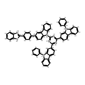 c1ccc(-n2c3ccccc3c3ccc(-c4nc(-c5ccc6c7ccccc7n(-c7ccccc7)c6c5)nc(-n5c6ccccc6c6cc(-c7ccc(-c8nc9ccccc9s8)cc7)ccc65)n4)cc32)cc1